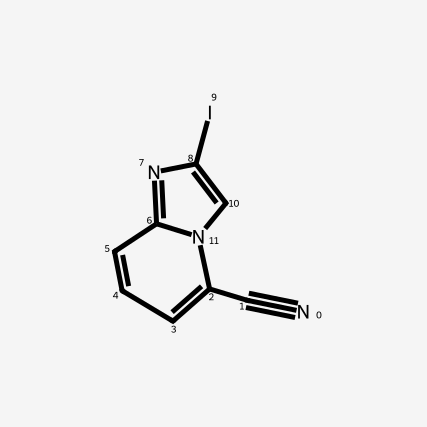 N#Cc1cccc2nc(I)cn12